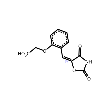 O=C(O)COc1ccccc1/C=C1/OC(=O)NC1=O